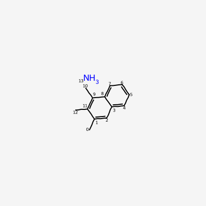 Cc1cc2ccccc2c(C)c1C.N